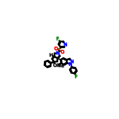 CO[C@@]1(c2ccccc2)C[C@H]2CN(S(=O)(=O)c3cncc(F)c3)C[C@@]2(c2cc3cnn(-c4ccc(F)cc4)c3cc2C)C1